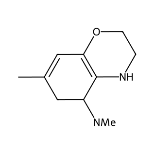 CNC1CC(C)=CC2=C1NCCO2